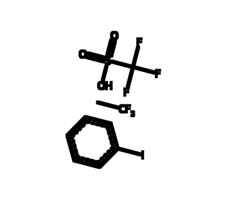 CC(F)(F)F.Ic1ccccc1.O=S(=O)(O)C(F)(F)F